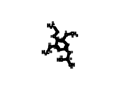 CCOc1c(OC)cc(OB(O)O)cc1OC